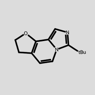 CC(C)(C)c1ncc2c3c(ccn12)CCO3